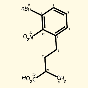 CCCCc1cccc(CCC(C)C(=O)O)c1[N+](=O)[O-]